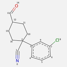 N#CC1(c2cccc(Cl)c2)CCC(C=O)CC1